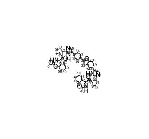 COC(=O)N[C@@H](C(=O)N1CCC[C@H]1c1ncc(-c2ccc(-c3cc4cc(-c5cnc([C@@H]6CCCN6C(=O)C(NC(C)=O)c6ccccc6)[nH]5)ccc4o3)cc2)[nH]1)c1ccccc1